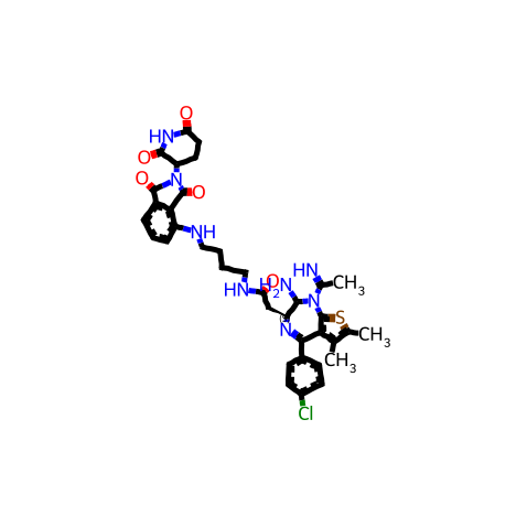 CC(=N)N1c2sc(C)c(C)c2C(c2ccc(Cl)cc2)=N[C@@H](CC(=O)NCCCCNc2cccc3c2C(=O)N(C2CCC(=O)NC2=O)C3=O)C1N